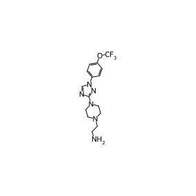 NCCN1CCN(c2ncn(-c3ccc(OC(F)(F)F)cc3)n2)CC1